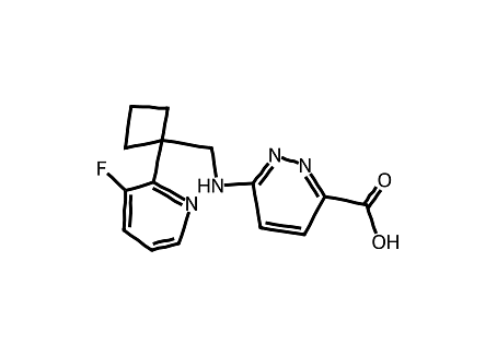 O=C(O)c1ccc(NCC2(c3ncccc3F)CCC2)nn1